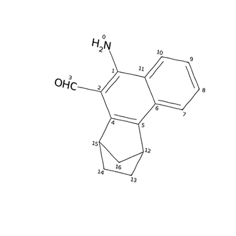 Nc1c(C=O)c2c(c3ccccc13)C1CCC2C1